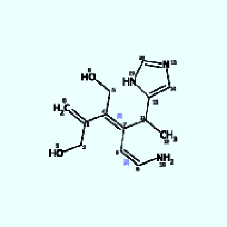 C=C(CO)/C(CO)=C(\C=C/N)C(C)c1cnc[nH]1